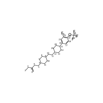 C=C(CC)CCC1CCC(CCC2CCC(c3ccc(OC(F)(F)F)c(F)c3)CC2)CC1